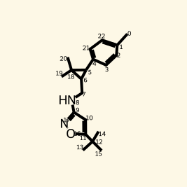 Cc1ccc(C2C(CNc3cc(C(C)(C)C)on3)C2(C)C)cc1